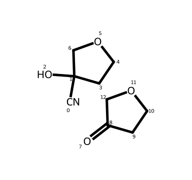 N#CC1(O)CCOC1.O=C1CCOC1